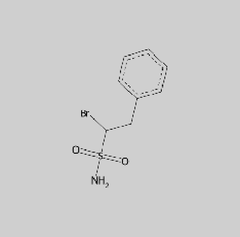 NS(=O)(=O)C(Br)Cc1ccccc1